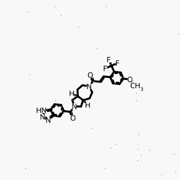 COc1ccc(C=CC(=O)N2CC[C@@H]3CN(C(=O)c4ccc5[nH]nnc5c4)C[C@@H]3CC2)c(C(F)(F)F)c1